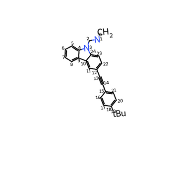 C=NCn1c2ccccc2c2cc(C#Cc3ccc(C(C)(C)C)cc3)ccc21